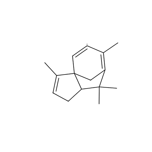 CC1=CCC2C(C)(C)C3=C(C)[C]=CC12C3